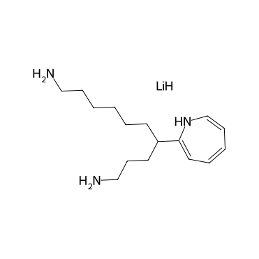 NCCCCCCC(CCCN)C1=CC=CC=CN1.[LiH]